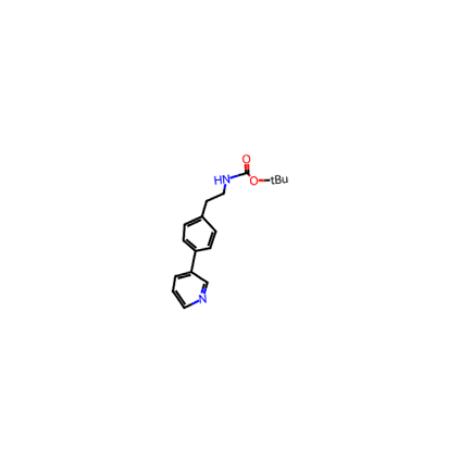 CC(C)(C)OC(=O)NCCc1ccc(-c2cccnc2)cc1